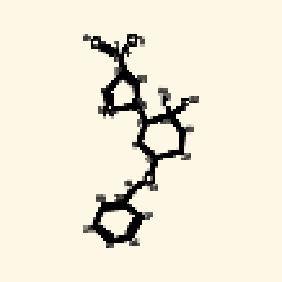 O=[N+]([O-])c1cnn(C2CC(OCc3ccccc3)CCC2(F)F)c1